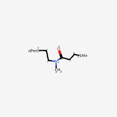 CCCCCCCN(C)C(=O)CCSC